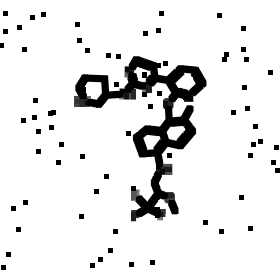 COC(CNc1cccc2c(Oc3ncccc3-c3ccnc(NC4CCCNC4)n3)c(C)ccc12)C(F)(F)F